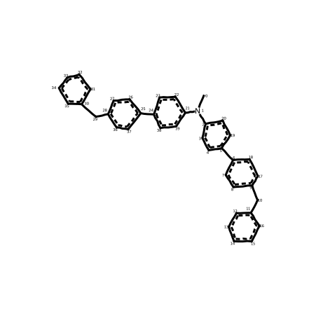 CN(c1ccc(-c2ccc(Cc3ccccc3)cc2)cc1)c1ccc(-c2ccc(Cc3ccccc3)cc2)cc1